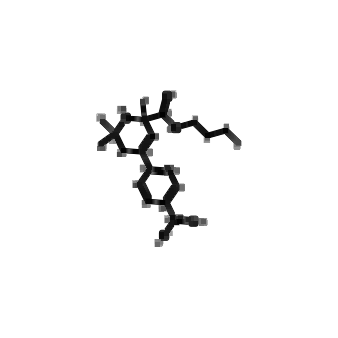 CCCCOC(=O)C1(C)C=C(c2ccc([N+](=O)[O-])cn2)CC(C)(C)O1